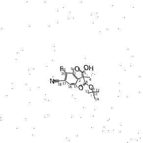 Cc1c(C(C)(C(=O)O)C(=O)OC(C)(C)C)ccc(C#N)c1F